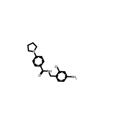 Nc1ccc(CNC(=O)c2ccc(N3CCCC3)cc2)c(Cl)c1